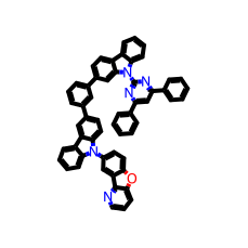 c1ccc(-c2cc(-c3ccccc3)nc(-n3c4ccccc4c4ccc(-c5cccc(-c6ccc7c(c6)c6ccccc6n7-c6ccc7oc8cccnc8c7c6)c5)cc43)n2)cc1